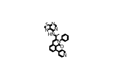 C[C@H](Nc1ncnc2scnc12)c1cc2cccc(-c3ccncc3)c2c(=O)n1-c1ccccc1